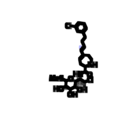 CSC1O[C@H]([C@H](NC(=O)C2CC=C(/C=C/CCc3cccc(Cl)c3)CCN2)[C@H](C)Cl)[C@@H](O)C(O)[C@H]1O